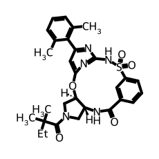 CCC(C)(C)C(=O)N1C[C@H]2NC(=O)c3cccc(c3)S(=O)(=O)Nc3nc(cc(-c4c(C)cccc4C)n3)O[C@@H]2C1